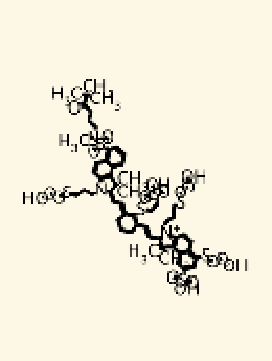 CN(CCCC(=O)C(C)(C)C)S(=O)(=O)c1cccc2c3c(ccc12)N(CCCSOOO)/C(=C/C=C1\CCCC(/C=C/C2=[N+](CCCSOOO)c4ccc5c(SOOO)cc(S(=O)(=O)O)cc5c4C2(C)C)=C1SCCS(=O)(=O)O)C3(C)C